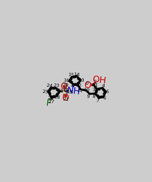 O=C(O)c1ccccc1CCCc1ccccc1NS(=O)(=O)c1cccc(F)c1